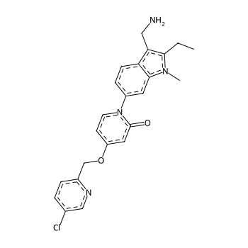 CCc1c(CN)c2ccc(-n3ccc(OCc4ccc(Cl)cn4)cc3=O)cc2n1C